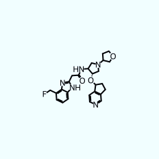 O=C(Cc1nc2c(CF)cccc2[nH]1)NC1CN(C2CCOC2)C[C@@H]1OC1CCc2cnccc21